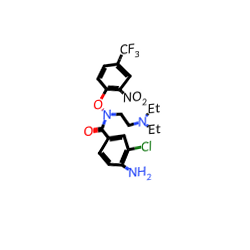 CCN(CC)CCN(Oc1ccc(C(F)(F)F)cc1[N+](=O)[O-])C(=O)c1ccc(N)c(Cl)c1